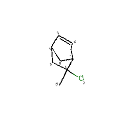 CC1(Cl)CC2C=CC1C2